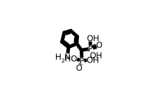 Nc1ccccc1C(P(=O)(O)O)P(=O)(O)O